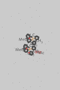 CC(=O)[O-].CC(=O)[O-].COc1cccc(C[P+](c2ccccc2C)(c2ccccc2C)c2ccccc2C)c1.COc1cccc(C[P+](c2ccccc2C)(c2ccccc2C)c2ccccc2C)c1